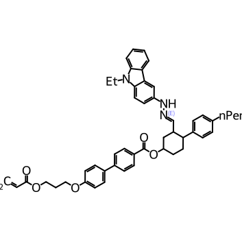 C=CC(=O)OCCCOc1ccc(-c2ccc(C(=O)OC3CCC(c4ccc(CCCCC)cc4)C(/C=N/Nc4ccc5c(c4)c4ccccc4n5CC)C3)cc2)cc1